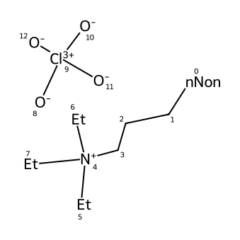 CCCCCCCCCCCC[N+](CC)(CC)CC.[O-][Cl+3]([O-])([O-])[O-]